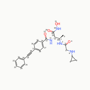 C[C@@H](NC(=O)CNC1CC1)[C@H](NC(=O)c1ccc(C#Cc2ccccc2)cc1)C(=O)NO